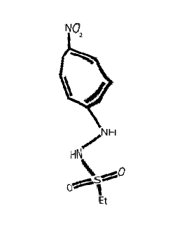 CCS(=O)(=O)NNc1ccc([N+](=O)[O-])cc1